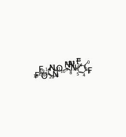 Cc1c(F)ccc(-n2cc(COc3ncc(OC(F)F)cn3)nn2)c1F